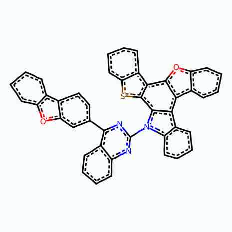 c1ccc2c(-c3ccc4c(c3)oc3ccccc34)nc(-n3c4ccccc4c4c5c6ccccc6oc5c5c6ccccc6sc5c43)nc2c1